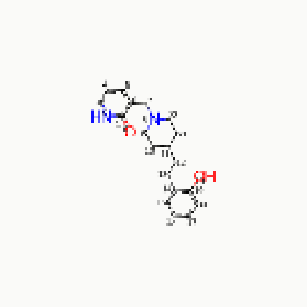 O=c1[nH]cccc1CN1CCC(CCc2ccccc2O)CC1